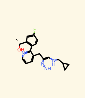 C[C@@H](O)c1cc(F)ccc1-c1ncccc1C/C(=C/NCC1CC1)N=N